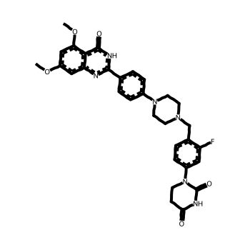 COc1cc(OC)c2c(=O)[nH]c(-c3ccc(N4CCN(Cc5ccc(N6CCC(=O)NC6=O)cc5F)CC4)cc3)nc2c1